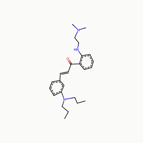 CCCN(CCC)c1cccc(C=CC(=O)c2ccccc2NCCN(C)C)c1